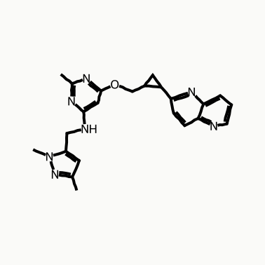 Cc1cc(CNc2cc(OCC3CC3c3ccc4ncccc4n3)nc(C)n2)n(C)n1